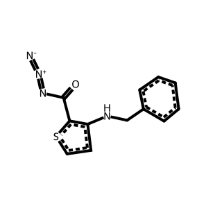 [N-]=[N+]=NC(=O)c1sccc1NCc1ccccc1